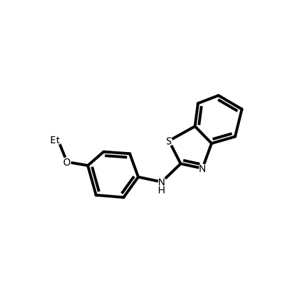 CCOc1ccc(Nc2nc3ccccc3s2)cc1